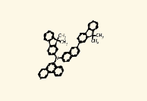 CC1(C)c2ccccc2-c2ccc(-c3ccc4ccc(N(c5ccc6c(c5)C(C)(C)c5ccccc5-6)c5cc6ccccc6c6ccccc56)cc4c3)cc21